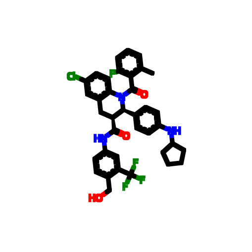 Cc1cccc(F)c1C(=O)N1c2ccc(Cl)cc2C[C@H](C(=O)Nc2ccc(CO)c(C(F)(F)F)c2)[C@@H]1c1ccc(NC2CCCC2)cc1